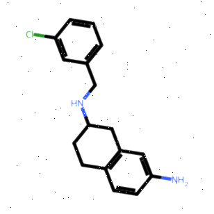 Nc1ccc2c(c1)CC(NCc1cccc(Cl)c1)CC2